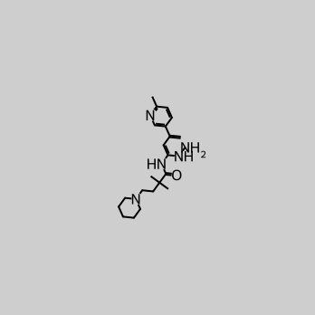 C=C(/C=C(\NN)NC(=O)C(C)(C)CCN1CCCCC1)c1ccc(C)nc1